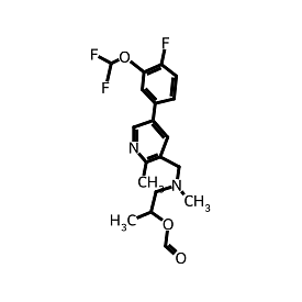 Cc1ncc(-c2ccc(F)c(OC(F)F)c2)cc1CN(C)CC(C)OC=O